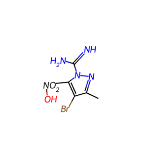 Cc1nn(C(=N)N)c(C)c1Br.O=[N+]([O-])O